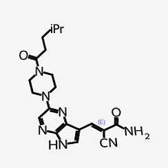 CC(C)CCC(=O)N1CCN(c2cnc3[nH]cc(/C=C(\C#N)C(N)=O)c3n2)CC1